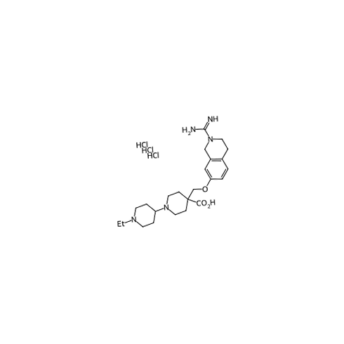 CCN1CCC(N2CCC(COc3ccc4c(c3)CN(C(=N)N)CC4)(C(=O)O)CC2)CC1.Cl.Cl.Cl